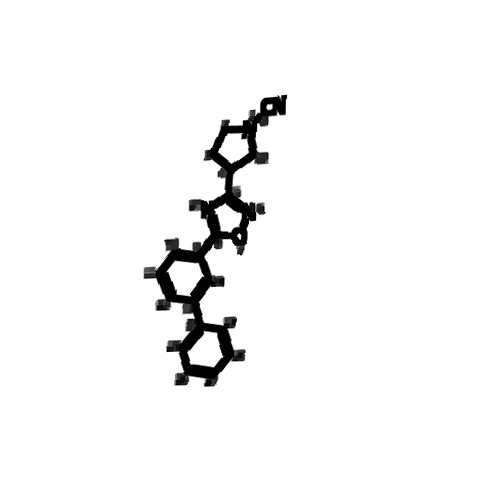 N#CN1CCC(c2noc(-c3cccc(-c4ccccc4)c3)n2)C1